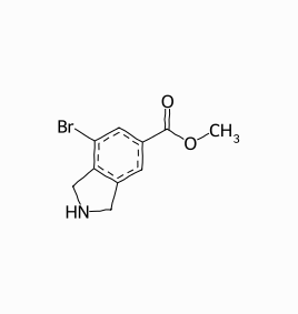 COC(=O)c1cc(Br)c2c(c1)CNC2